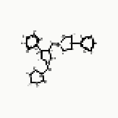 c1ccc(C2CCN(CC3CN(CC4CCCCC4)CC3c3ccccc3)CC2)cc1